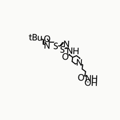 CC(C)(C)c1cnc(CSc2cnc(NC(=O)C3CCN(CCCC(=O)NO)CC3)s2)o1